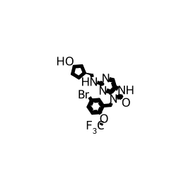 O=c1[nH]c2cnc(NC[C@H]3CC[C@H](O)C3)nc2n1Cc1cc(Br)ccc1OC(F)(F)F